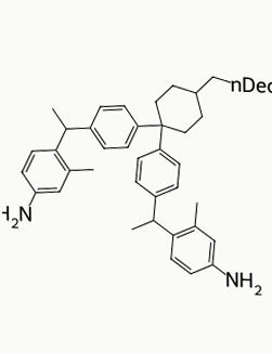 CCCCCCCCCCCC1CCC(c2ccc(C(C)c3ccc(N)cc3C)cc2)(c2ccc(C(C)c3ccc(N)cc3C)cc2)CC1